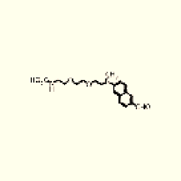 CN(CCOCCOCCNC(=O)O)c1ccc2cc(C=O)ccc2c1